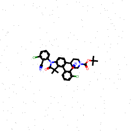 CC(C)(C)OC(=O)N1CCC(c2ccc3c(c2-c2cccc(Cl)c2C#N)C(C)(C)C(=O)N3c2cccc(Cl)c2C#N)CC1